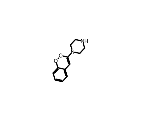 C1=C(N2CCNCC2)OOc2ccccc21